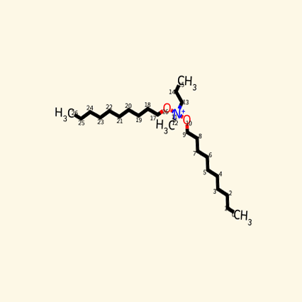 CCCCCCCCCCO[N+](C)(CCC)OCCCCCCCCCC